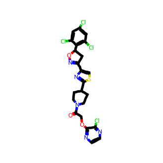 O=C(COc1nccnc1Cl)N1CCC(c2nc(C3=NOC(c4c(Cl)cc(Cl)cc4Cl)C3)cs2)CC1